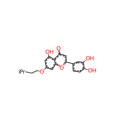 CC(C)CCOc1cc(O)c2c(=O)cc(-c3ccc(O)c(O)c3)oc2c1